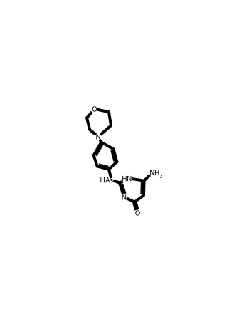 Nc1cc(=O)nc([AsH]c2ccc(N3CCOCC3)cc2)[nH]1